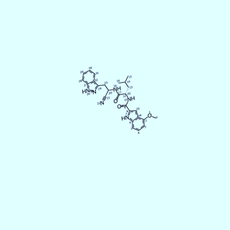 COc1cccc2[nH]c(C(=O)N[C@@H](CC(C)C)C(=O)NC(C#N)Cc3n[nH]c4ccccc34)cc12